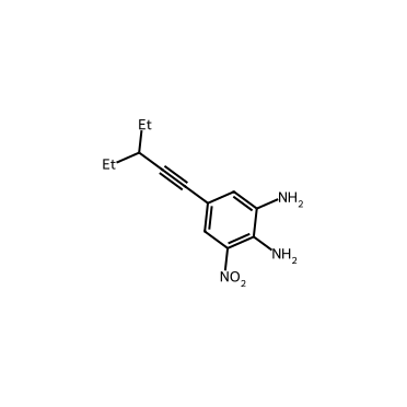 CCC(C#Cc1cc(N)c(N)c([N+](=O)[O-])c1)CC